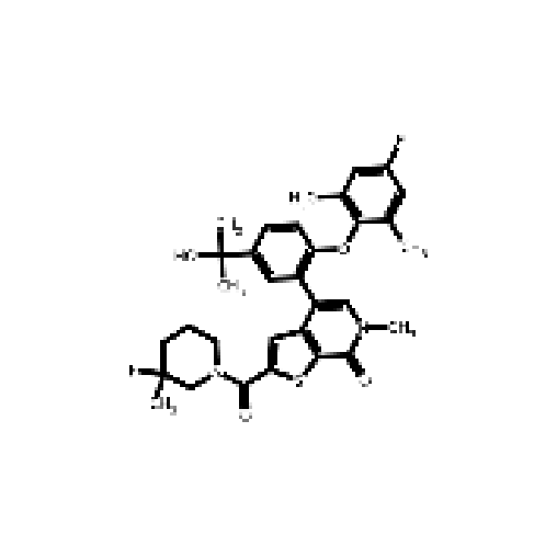 Cc1cc(F)cc(C)c1Oc1ccc(C(C)(C)O)cc1-c1cn(C)c(=O)c2sc(C(=O)N3CCCC(C)(F)C3)cc12